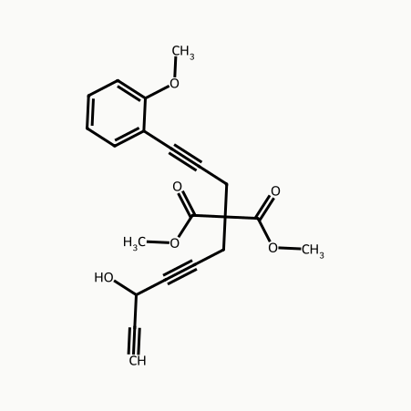 C#CC(O)C#CCC(CC#Cc1ccccc1OC)(C(=O)OC)C(=O)OC